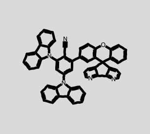 N#Cc1c(-c2ccc3c(c2)C2(c4ccccc4O3)c3cccnc3-c3ncccc32)cc(-n2c3ccccc3c3ccccc32)cc1-n1c2ccccc2c2ccccc21